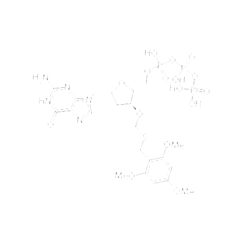 COc1cc(OC)c(CSCO[C@H]2C[C@H](Cn3cnc4c(=O)[nH]c(N)nc43)O[C@@H]2COP(=O)(O)OP(=O)(O)OP(=O)(O)O)c(OC)c1